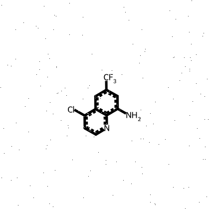 Nc1cc(C(F)(F)F)cc2c(Cl)ccnc12